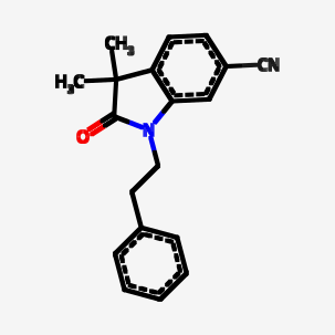 CC1(C)C(=O)N(CCc2ccccc2)c2cc(C#N)ccc21